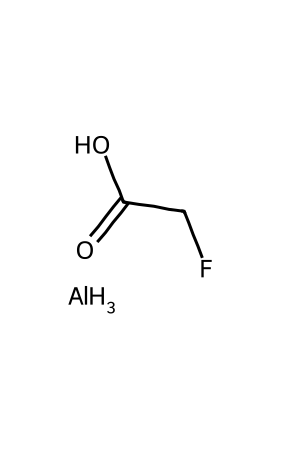 O=C(O)CF.[AlH3]